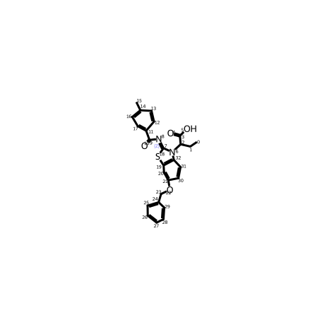 CCC(C(=O)O)n1/c(=N/C(=O)c2ccc(C)cc2)sc2cc(OCc3ccccc3)ccc21